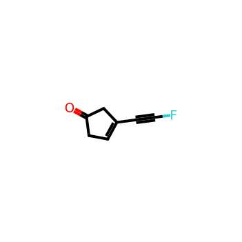 O=C1CC=C(C#CF)C1